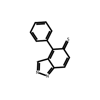 S=C1C=CC2=NN=[C]C2=C1c1ccccc1